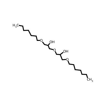 CCCCCCCOCC(O)COCC(O)COCCCCCCC